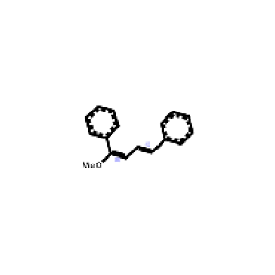 CO/C(=C/C=C/c1ccccc1)c1ccccc1